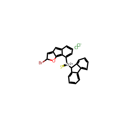 [Cl-].[Cl-].[S]=[Zr+2]([c]1cccc2c1=C1OC(Br)C=C1C=2)[CH]1c2ccccc2-c2ccccc21